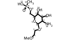 COCCOC1OC(COP(C)(=O)O)C(O)C(O)C1N